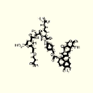 Cc1c(F)cc2nc3c(c4c2c1CC[C@@H]4NC(=O)OCc1ccc(NC(=O)[C@H](CCCNC(N)=O)NC(=O)[C@@H](NC(=O)[C@H](CCC(=O)O)NC(=O)CCOCCC(=O)C(C)C)C(C)C)cc1)Cn1c-3cc2c(c1=O)COC(=O)C2O